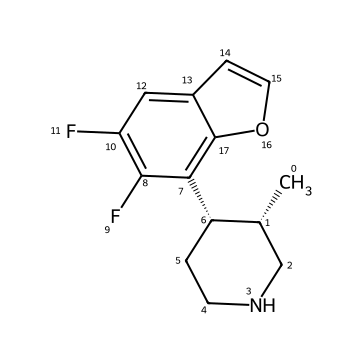 C[C@@H]1CNCC[C@@H]1c1c(F)c(F)cc2ccoc12